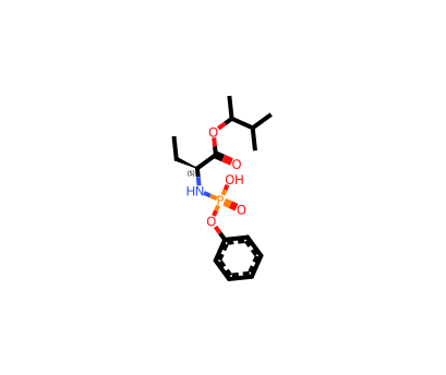 CC[C@H](NP(=O)(O)Oc1ccccc1)C(=O)OC(C)C(C)C